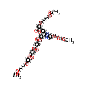 C=CC(=O)OCCCCCCOc1ccc(OC(=O)C2CCC(OC(=O)c3ccc(C(=O)Oc4cccc(-c5nc6ccc(OCCOCCOCC)cc6nc5-c5cccc(OC(=O)c6ccc(OCCCCCCOC(=O)C=C)cc6)c5)c4)cc3)CC2)cc1